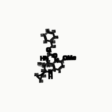 COc1ccc2c(n1)[C@H](NC(=O)OCc1ccccc1)[C@@H](C)[C@H](C1CC1)N2